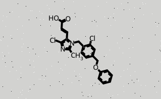 Cc1nc(Cl)c(/C=C/C(=O)O)n1Cc1ccc(COc2ccccc2)cc1Cl